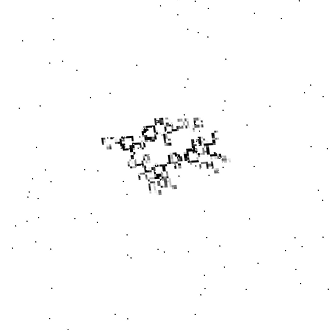 CC1(C)OC(c2ccco2)CN1C(=O)C(Cl)Cl.CCOC(=O)COC(=O)c1cc(Oc2ccc(C(F)(F)F)cc2Cl)ccc1[N+](=O)[O-].CCOCN(C(=O)CCl)c1c(C)cccc1CC